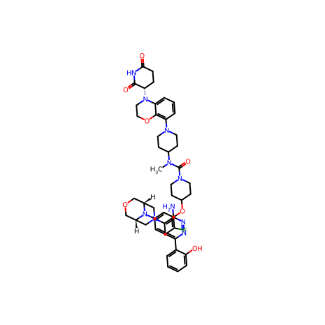 CN(C(=O)N1CCC(Oc2cc(N3[C@@H]4COC[C@H]3CN(c3cc(-c5ccccc5O)nnc3N)C4)ccc2F)CC1)C1CCN(c2cccc3c2OCCN3[C@H]2CCC(=O)NC2=O)CC1